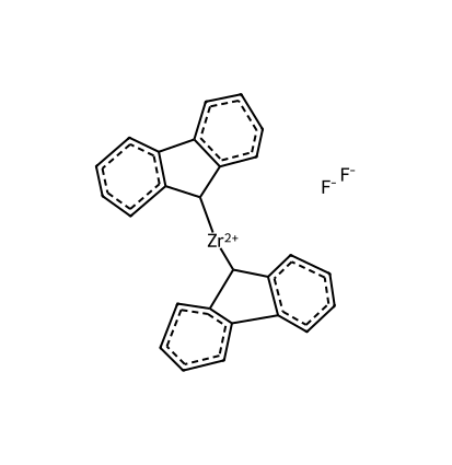 [F-].[F-].c1ccc2c(c1)-c1ccccc1[CH]2[Zr+2][CH]1c2ccccc2-c2ccccc21